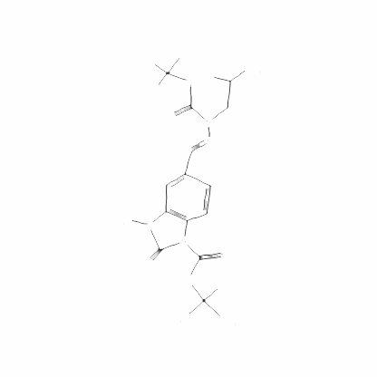 CC(C)CN(/N=C/c1ccc2c(c1)n(C)c(=O)n2C(=O)OC(C)(C)C)C(=O)OC(C)(C)C